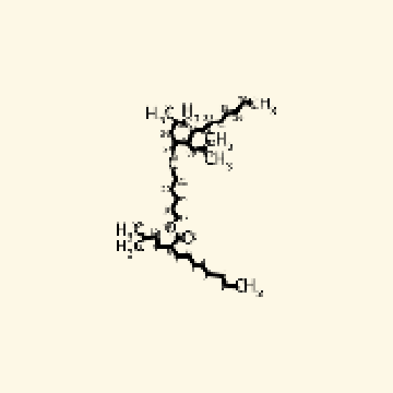 CCCCCCCCC(CCC(C)C)C(=O)OCCCCCCCCC(CC(C)C)C(CCCCCCCC)CC(C)C